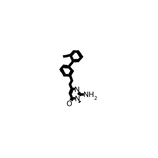 Cc1ccccc1-c1cccc(CCc2cc(=O)n(C)c(N)n2)c1